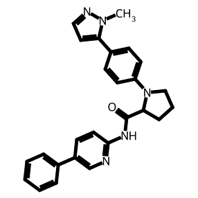 Cn1nccc1-c1ccc(N2CCCC2C(=O)Nc2ccc(-c3ccccc3)cn2)cc1